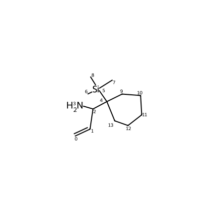 C=CC(N)C1([Si](C)(C)C)CCCCC1